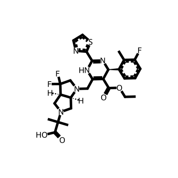 CCOC(=O)C1=C(CN2CC(F)(F)[C@@H]3CN(C(C)(C)C(=O)O)C[C@@H]32)NC(c2nccs2)=N[C@H]1c1cccc(F)c1C